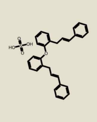 C(=Cc1ccccc1)Cc1ccccc1Oc1ccccc1CC=Cc1ccccc1.O=S(=O)(O)O